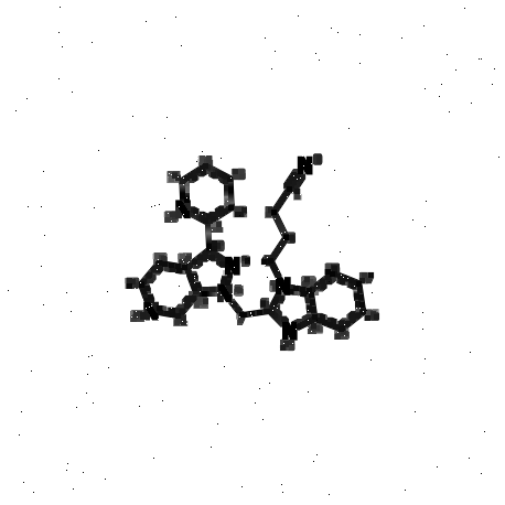 N#CCCCn1c(Cn2nc(-c3ccccn3)c3ccncc32)nc2ccccc21